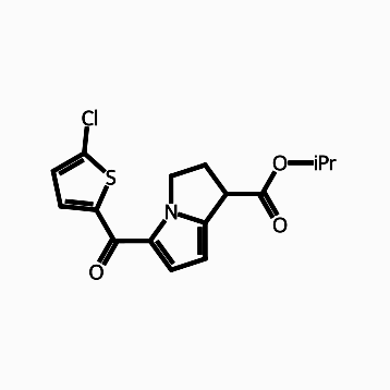 CC(C)OC(=O)C1CCn2c(C(=O)c3ccc(Cl)s3)ccc21